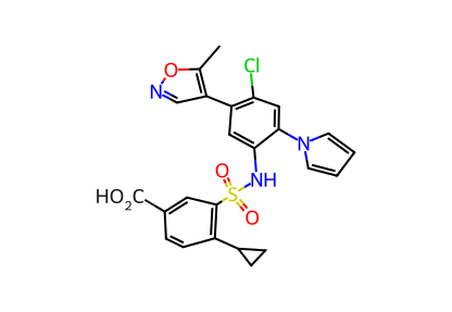 Cc1oncc1-c1cc(NS(=O)(=O)c2cc(C(=O)O)ccc2C2CC2)c(-n2cccc2)cc1Cl